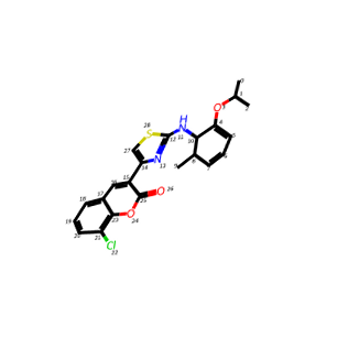 CC(C)OC1=CC=CC(C)C1Nc1nc(-c2cc3cccc(Cl)c3oc2=O)cs1